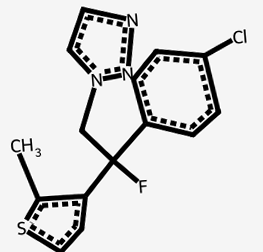 Cc1sccc1C(F)(Cn1ccnn1)c1ccc(Cl)cc1